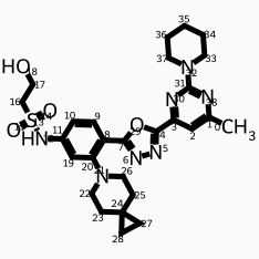 Cc1cc(-c2nnc(-c3ccc(NS(=O)(=O)CCO)cc3N3CCC4(CC3)CC4)o2)nc(N2CCCCC2)n1